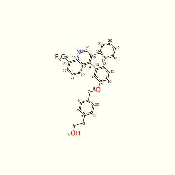 OCCc1ccc(COc2cccc(-c3c(-c4ccccc4)cnc4c(C(F)(F)F)cccc34)c2)cc1